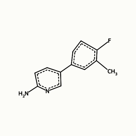 Cc1cc(-c2ccc(N)nc2)ccc1F